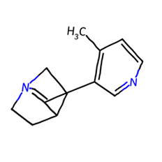 Cc1ccncc1C1=CN2CCC1CC2